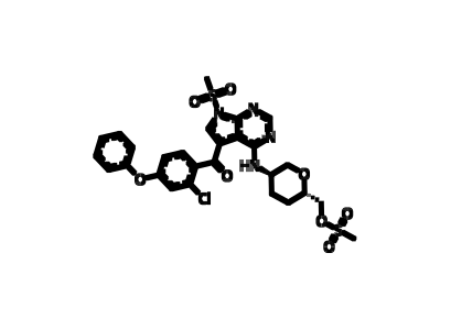 CS(=O)(=O)OC[C@@H]1CC[C@@H](Nc2ncnc3c2c(C(=O)c2ccc(Oc4ccccc4)cc2Cl)cn3S(C)(=O)=O)CO1